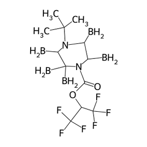 BC1C(B)N(C(=O)OC(C(F)(F)F)C(F)(F)F)C(B)(B)C(B)N1C(C)(C)C